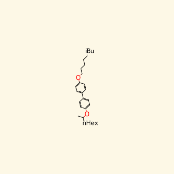 CCCCCC[C@@H](C)Oc1ccc(-c2ccc(OCCCCC[C@@H](C)CC)cc2)cc1